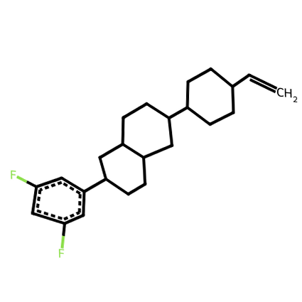 C=CC1CCC(C2CCC3CC(c4cc(F)cc(F)c4)CCC3C2)CC1